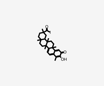 CC1=C(O)C(=O)C=C2C1=CC=C1C2(C)CCC2(C)C3CC(C)(C(=O)I)CCC3(C)CCC12C